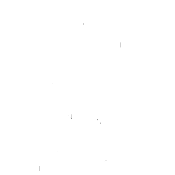 O=C(c1ccc(-c2nc(Br)c(C(F)(F)F)[nH]2)c(Cl)c1)C(F)(F)F